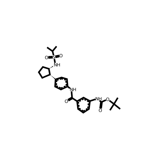 CC(C)S(=O)(=O)N[C@H]1CCC[C@H]1c1ccc(NC(=O)c2cccc(NC(=O)OC(C)(C)C)c2)cc1